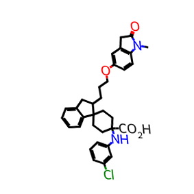 CN1C(=O)Cc2cc(OCCCC3Cc4ccccc4C34CCC(Nc3cccc(Cl)c3)(C(=O)O)CC4)ccc21